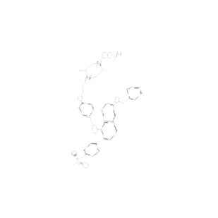 C[C@@H]1CN(CCOc2ccc(Oc3c(-c4ccc(S(C)(=O)=O)cc4)ccc4cc(OCc5ccccc5)ccc34)cc2)[C@@H](C)CN1C(=O)O